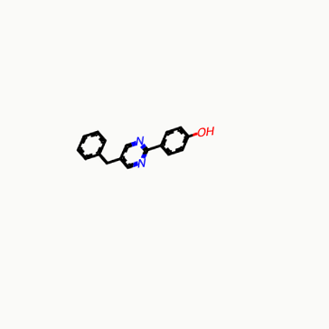 Oc1ccc(-c2ncc(Cc3ccccc3)cn2)cc1